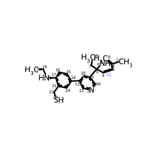 C=C(C)/C=C\C(N)(CC)c1cncc(-c2ccc(NCC)c(CS)c2)c1